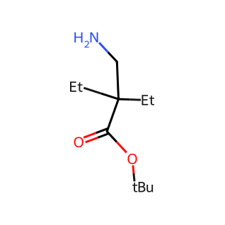 CCC(CC)(CN)C(=O)OC(C)(C)C